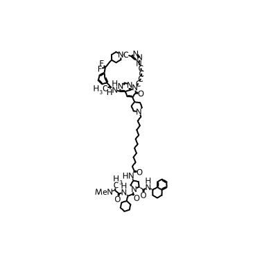 CN[C@@H](C)C(=O)N[C@H](C(=O)N1C[C@@H](NC(=O)CCCCCCCCCCCCN2CCC(c3cc4c5ncnc4n(c3=O)CCCCn3cc(nn3)CN3CCC(CC3)C(F)(F)c3cccc(c3)[C@@H](C)N5)CC2)C[C@H]1C(=O)N[C@@H]1CCCc2ccccc21)C1CCCCC1